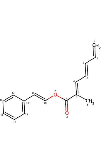 C=CC=CC=C(C)C(=O)OC=Cc1ccccc1